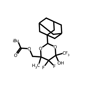 CCC(C)C(=O)OCC1(C)OC(C23CC4CC(CC(C4)C2)C3)OC(O)(C(F)(F)F)C1(F)F